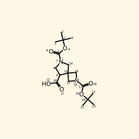 CC(C)(C)OC(=O)N1CC(C(=O)O)C2(C1)CN(C(=O)OC(C)(C)C)C2